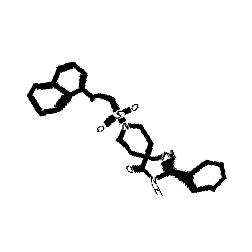 O=C1NC(C2CCCCC2)=NC12CCN(S(=O)(=O)CCc1cccc3ccccc13)CC2